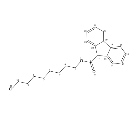 O=C(OCCCCCCCCCl)C1c2ccccc2-c2ccccc21